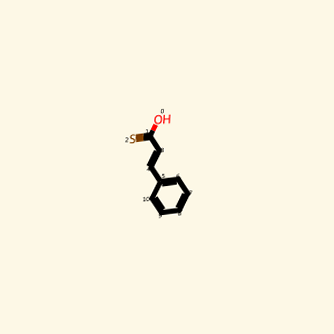 OC(=S)C=Cc1ccccc1